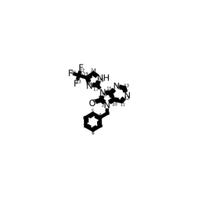 O=c1n(Cc2ccccc2)c2cncnc2n1-c1nc(C(F)(F)F)c[nH]1